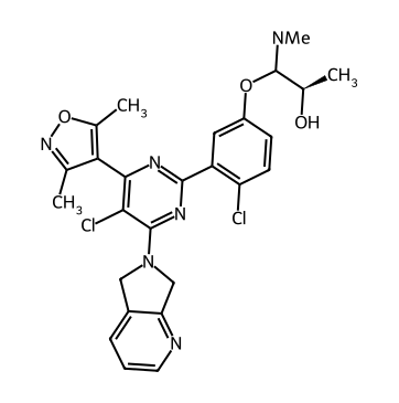 CNC(Oc1ccc(Cl)c(-c2nc(-c3c(C)noc3C)c(Cl)c(N3Cc4cccnc4C3)n2)c1)[C@@H](C)O